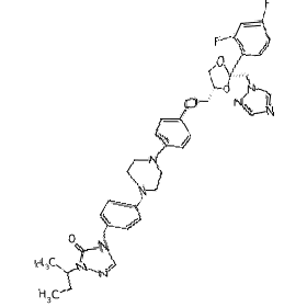 CCC(C)n1ncn(-c2ccc(N3CCN(c4ccc(OC[C@@H]5CO[C@@](Cn6cncn6)(c6ccc(F)cc6F)O5)cc4)CC3)cc2)c1=O